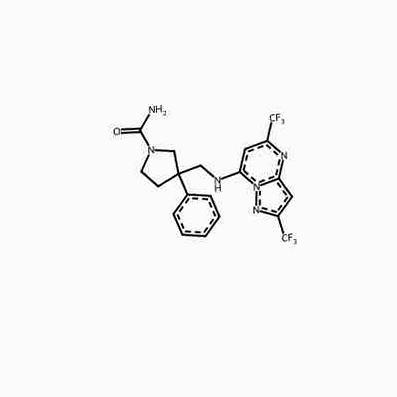 NC(=O)N1CCC(CNc2cc(C(F)(F)F)nc3cc(C(F)(F)F)nn23)(c2ccccc2)C1